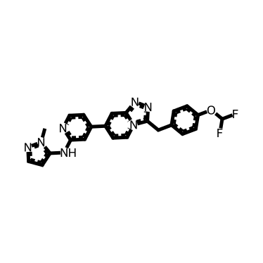 Cn1nccc1Nc1cc(-c2ccn3c(Cc4ccc(OC(F)F)cc4)nnc3c2)ccn1